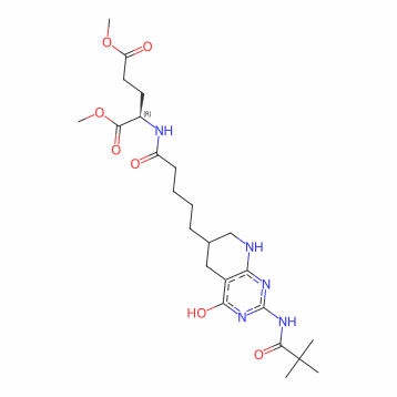 COC(=O)CC[C@@H](NC(=O)CCCCC1CNc2nc(NC(=O)C(C)(C)C)nc(O)c2C1)C(=O)OC